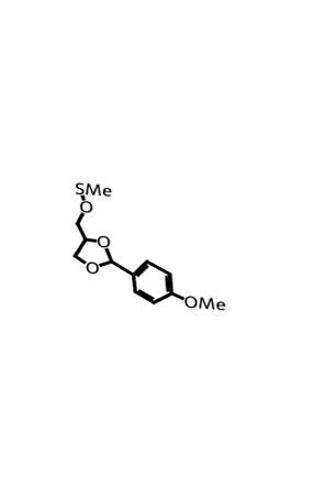 COc1ccc(C2OCC(COSC)O2)cc1